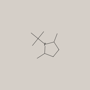 CC1CCC(C)P1C(C)(C)C